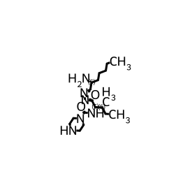 CCCCC[C@H](N)c1nnc([C@@H](NC(=O)N2CCNCC2)[C@@H](C)CC)o1